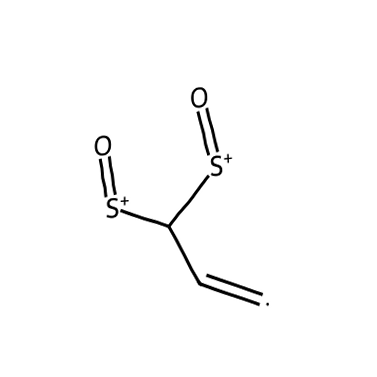 [CH]=CC([S+]=O)[S+]=O